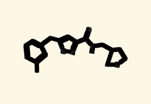 Cc1cccc(Cc2cc(C(=O)NCC3CCOC3)no2)c1